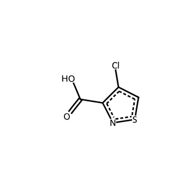 O=C(O)c1nscc1Cl